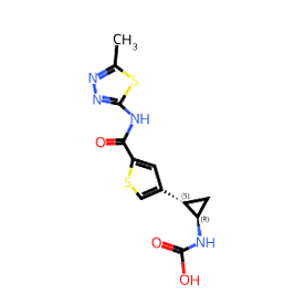 Cc1nnc(NC(=O)c2cc([C@@H]3C[C@H]3NC(=O)O)cs2)s1